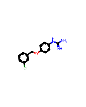 N=C(N)Nc1ccc(OCc2cccc(Cl)c2)cc1